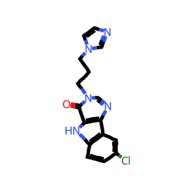 O=c1c2[nH]c3ccc(Cl)cc3c2ncn1CCCn1ccnc1